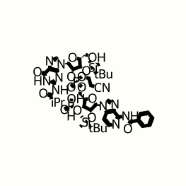 CC(C)C(=O)Nc1nc2c(ncn2[C@@H]2O[C@H](CO)[C@@H](O[Si](C)(C)C(C)(C)C)[C@H]2OP(=O)(OCCC#N)OC[C@H]2O[C@@H](n3cnc4c(NC(=O)c5ccccc5)nccc43)[C@H](O[Si](C)(C)C(C)(C)C)[C@@H]2O[PH](=O)O)c(=O)[nH]1